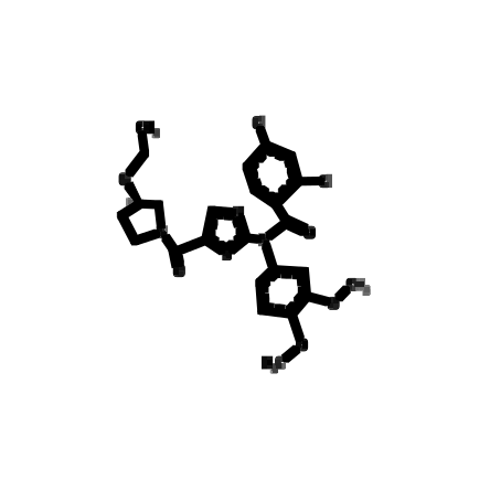 CCO[C@@H]1CCN(C(=O)c2cnc(N(C(=O)c3ccc(Cl)cc3Cl)c3ccc(OC)c(OC)c3)s2)C1